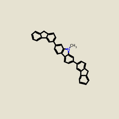 Cn1c2cc(-c3ccc4c(c3)-c3ccccc3C4)ccc2c2ccc(-c3ccc4c(c3)-c3ccccc3C4)cc21